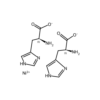 N[C@@H](Cc1c[nH]cn1)C(=O)[O-].N[C@@H](Cc1c[nH]cn1)C(=O)[O-].[Ni+2]